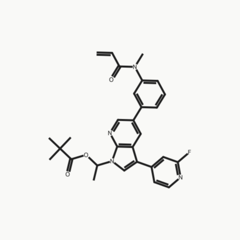 C=CC(=O)N(C)c1cccc(-c2cnc3c(c2)c(-c2ccnc(F)c2)cn3C(C)OC(=O)C(C)(C)C)c1